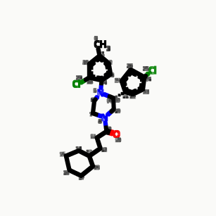 Cc1ccc(N2CCN(C(=O)CCC3CCCCC3)C[C@H]2c2ccc(Cl)cc2)c(Cl)c1